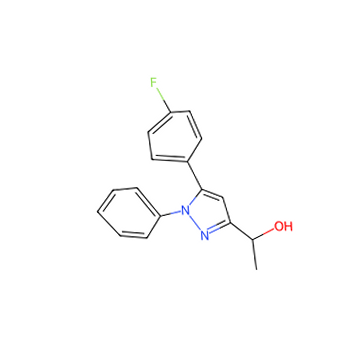 CC(O)c1cc(-c2ccc(F)cc2)n(-c2ccccc2)n1